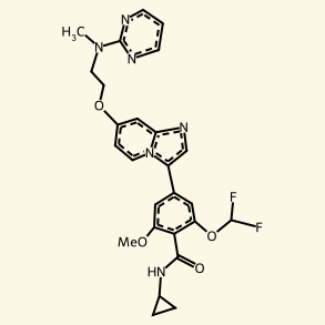 COc1cc(-c2cnc3cc(OCCN(C)c4ncccn4)ccn23)cc(OC(F)F)c1C(=O)NC1CC1